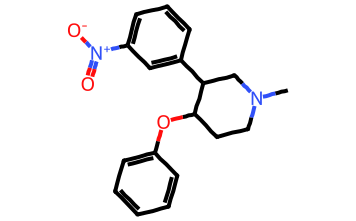 CN1CCC(Oc2ccccc2)C(c2cccc([N+](=O)[O-])c2)C1